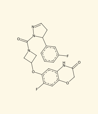 O=C1COc2cc(F)c(OC3CN(C(=O)N4N=CCC4c4cccc(F)c4)C3)cc2N1